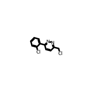 ClCc1ccc(-c2ccccc2Cl)nn1